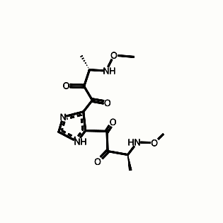 CON[C@@H](C)C(=O)C(=O)c1nc[nH]c1C(=O)C(=O)[C@H](C)NOC